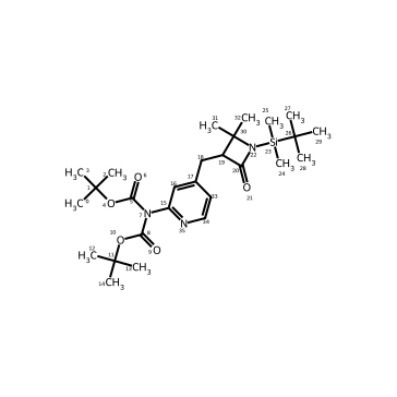 CC(C)(C)OC(=O)N(C(=O)OC(C)(C)C)c1cc(CC2C(=O)N([Si](C)(C)C(C)(C)C)C2(C)C)ccn1